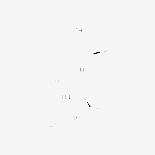 CCC[C@@H]1C(C)=CC(=O)N1C(=O)[C@@H](CCC)NS(=O)(=O)CC